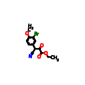 CCOC(=O)C(=O)C(C#N)c1ccc(OC)c(Br)c1